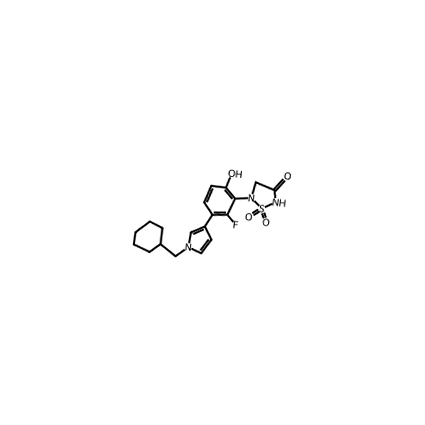 O=C1CN(c2c(O)ccc(-c3ccn(CC4CCCCC4)c3)c2F)S(=O)(=O)N1